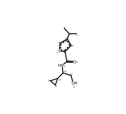 CC(C)c1csc(C(=O)NC(CO)C2CC2)c1